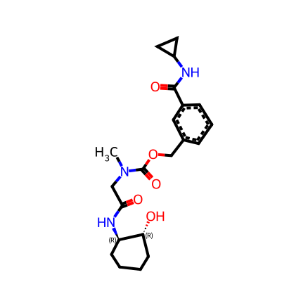 CN(CC(=O)N[C@@H]1CCCC[C@H]1O)C(=O)OCc1cccc(C(=O)NC2CC2)c1